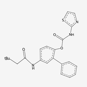 CC(C)(C)CC(=O)Nc1ccc(OC(=O)Nc2nccs2)c(-c2ccccc2)c1